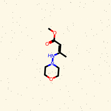 COC(=O)/C=C(/C)NN1CCOCC1